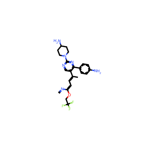 C=N/C(=C\C=C(/C)c1cnc(N2CCC(N)CC2)nc1-c1ccc(N)cc1)OCC(F)(F)F